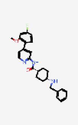 COc1cc(F)ccc1-c1ccnc(NC(=O)[C@H]2CC[C@@H](NCc3ccccc3)CC2)c1